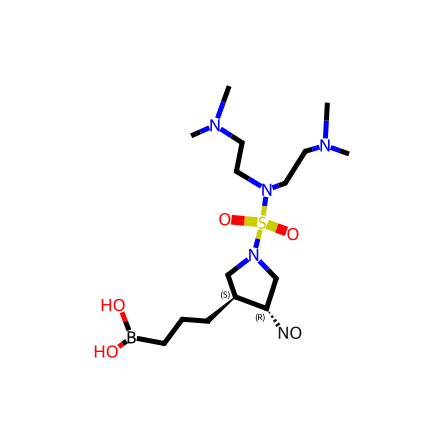 CN(C)CCN(CCN(C)C)S(=O)(=O)N1C[C@H](CCCB(O)O)[C@@H](N=O)C1